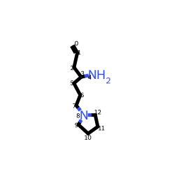 C=CCC(N)CCCN1CCCC1